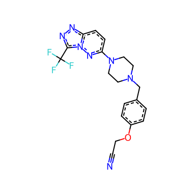 N#CCOc1ccc(CN2CCN(c3ccc4nnc(C(F)(F)F)n4n3)CC2)cc1